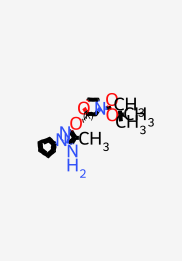 Cc1c(OC[C@H]2CN(C(=O)OC(C)(C)C)CCO2)nn(-c2ccccc2)c1N